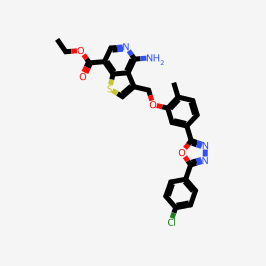 CCOC(=O)c1cnc(N)c2c(COc3cc(-c4nnc(-c5ccc(Cl)cc5)o4)ccc3C)csc12